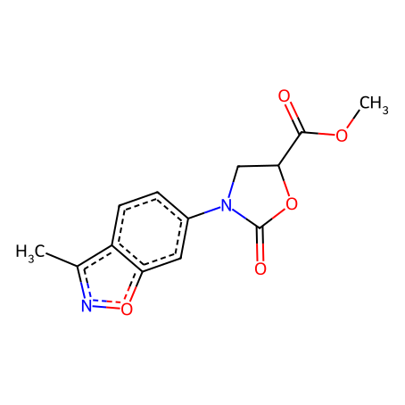 COC(=O)C1CN(c2ccc3c(C)noc3c2)C(=O)O1